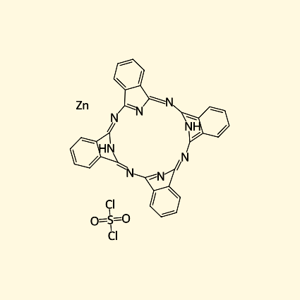 O=S(=O)(Cl)Cl.[Zn].c1ccc2c(c1)-c1nc-2nc2[nH]c(nc3nc(nc4[nH]c(n1)c1ccccc41)-c1ccccc1-3)c1ccccc21